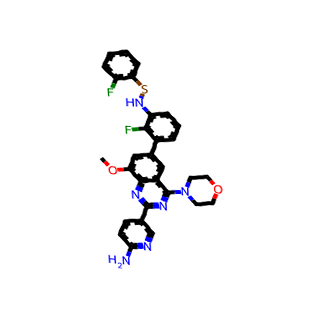 COc1cc(-c2cccc(NSc3ccccc3F)c2F)cc2c(N3CCOCC3)nc(-c3ccc(N)nc3)nc12